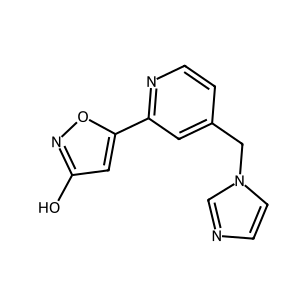 Oc1cc(-c2cc(Cn3ccnc3)ccn2)on1